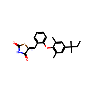 CCC(C)(C)c1cc(C)c(Oc2ccccc2/C=C2\SC(=O)NC2=O)c(C)c1